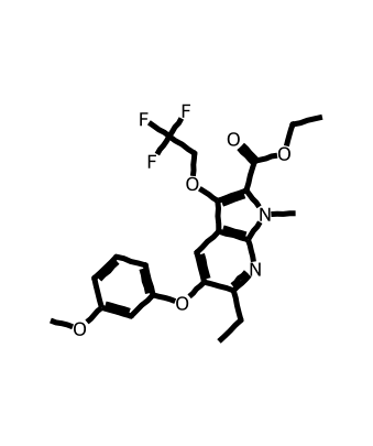 CCOC(=O)c1c(OCC(F)(F)F)c2cc(Oc3cccc(OC)c3)c(CC)nc2n1C